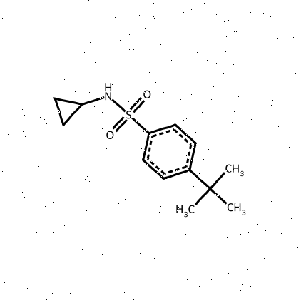 CC(C)(C)c1ccc(S(=O)(=O)NC2CC2)cc1